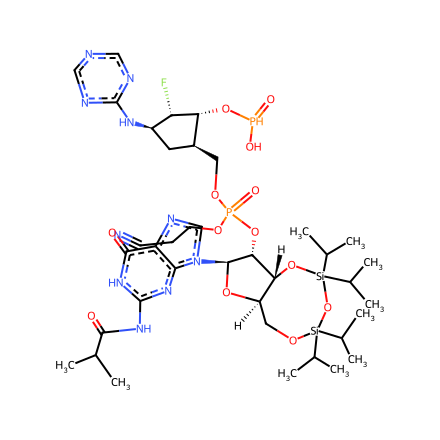 CC(C)C(=O)Nc1nc2c(ncn2[C@@H]2O[C@@H]3CO[Si](C(C)C)(C(C)C)O[Si](C(C)C)(C(C)C)O[C@H]3[C@H]2OP(=O)(OCCC#N)OC[C@H]2C[C@@H](Nc3ncncn3)[C@H](F)[C@@H]2O[PH](=O)O)c(=O)[nH]1